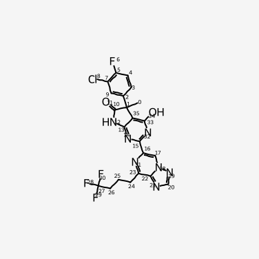 CC1(c2ccc(F)c(Cl)c2)C(=O)Nc2nc(-c3cn4ncnc4c(CCCC(F)(F)F)n3)nc(O)c21